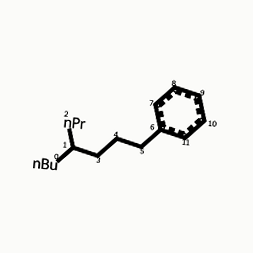 CCCCC(CCC)CCCc1ccccc1